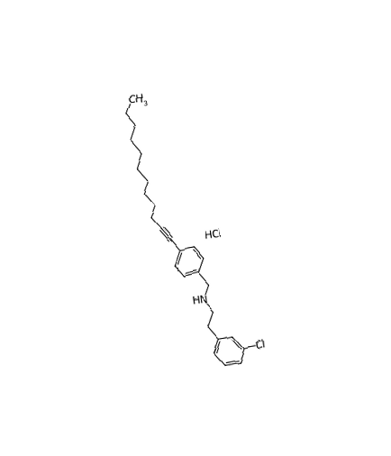 CCCCCCCCCCC#Cc1ccc(CNCCc2cccc(Cl)c2)cc1.Cl